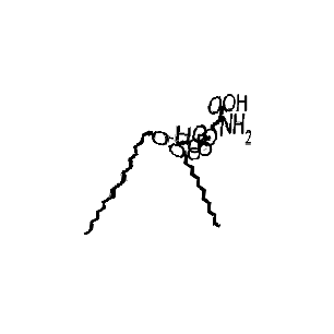 CCCCCCCCCCCCCCCC/C=C\OC[C@H](COP(=O)(O)OC[C@H](N)C(=O)O)OC(=O)CCCCCCCCCCCC